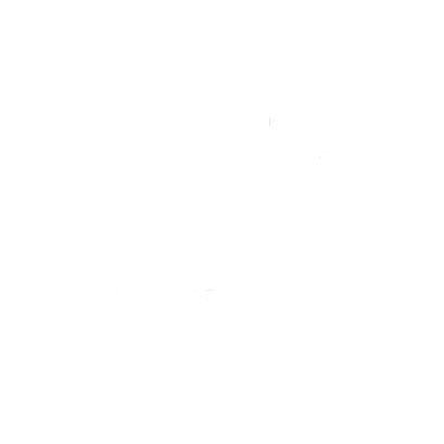 Cc1cc2c(c(-c3c(OC(C)(C)C)c(C)cc4ccccc34)c1C)CCCC2